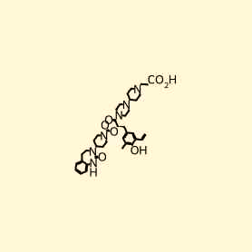 C=Cc1cc(C[C@@H](OC(=O)N2CCC(N3CCc4ccccc4NC3=O)CC2)C(=O)N2CCN(C3CCN(CCC(=O)O)CC3)CC2)cc(C)c1O